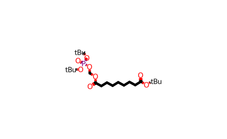 CC(C)(C)OC(=O)CCCCCCCC(=O)OCOP(=O)(OC(C)(C)C)OC(C)(C)C